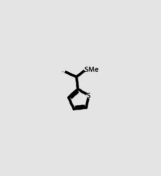 [CH2]C(SC)c1cccs1